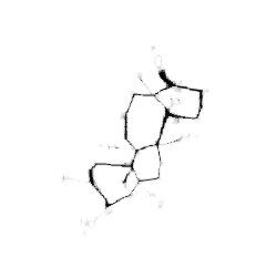 C[C@@H]1C[C@@]2(C)[C@@H](CC[C@@H]3[C@@H]2CC[C@]2(C)C(=O)CC[C@@H]32)C[C@@H]1O